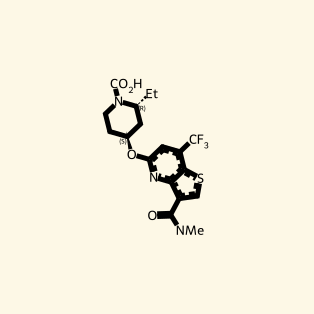 CC[C@@H]1C[C@@H](Oc2cc(C(F)(F)F)c3scc(C(=O)NC)c3n2)CCN1C(=O)O